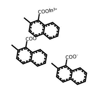 Cc1ccc2ccccc2c1C(=O)[O-].Cc1ccc2ccccc2c1C(=O)[O-].Cc1ccc2ccccc2c1C(=O)[O-].[In+3]